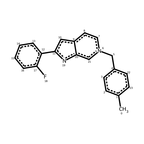 Cc1ccc(Cn2ccc3cc(-c4ccccc4F)nc-3c2)cc1